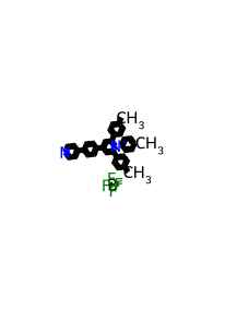 Cc1ccc(-c2cc(-c3ccc(-c4ccncc4)cc3)cc(-c3ccc(C)cc3)[n+]2-c2ccc(C)cc2)cc1.F[B-](F)(F)F